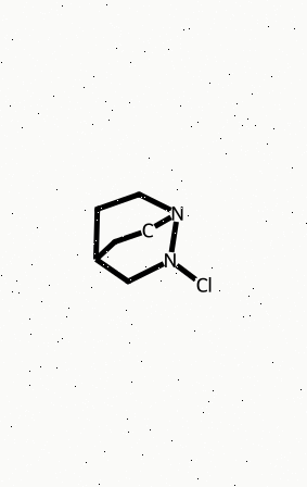 ClN1CC2CCN1CC2